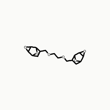 C(COCC1CC2OC1C1OC21)OCC1CC2OC1C1OC21